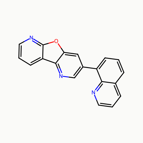 c1cnc2c(-c3cnc4c(c3)oc3ncccc34)cccc2c1